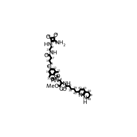 COC(=O)C(CNS(=O)(=O)c1c(C)cc(OCCCC(=O)NCCNc2c(N)c(=O)c2=O)cc1C)NC(=O)CCCCc1ccc2c(n1)NCCC2